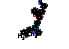 CC1(C)c2ccccc2-c2ccc(-c3nc(-c4ccccc4)nc(-c4ccc(-c5ccc6c7ccc(-c8cccc(C#N)c8)cc7c7c8ccccc8oc7c6c5)cc4)n3)cc21